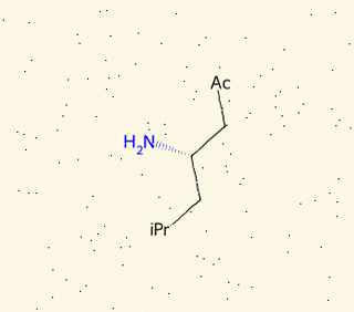 CC(=O)C[C@@H](N)CC(C)C